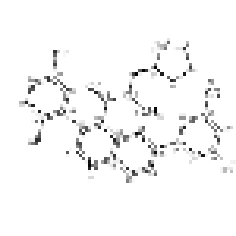 CN(C[C@@H]1CCCN1)C(=O)c1c(-c2cc(F)ccc2F)cnc2ccc(-c3cc(F)cc(C#N)c3)cc12